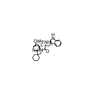 COc1ccc(C2(CNC(=O)[C@@](C)(N)Cc3c[nH]c4ccccc34)CCCCC2)nc1